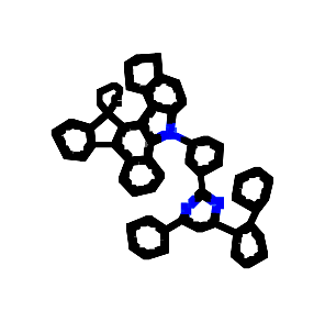 c1ccc(-c2cc(-c3ccccc3-c3ccccc3)nc(-c3cccc(-n4c5ccc6ccccc6c5c5c6c(c7ccccc7c54)-c4ccccc4C64CCCCC4)c3)n2)cc1